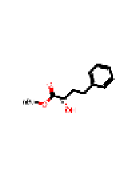 CCCCOC(=O)[C@@H](O)CCc1ccccc1